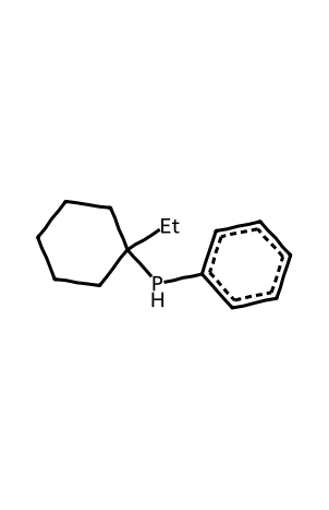 CCC1(Pc2ccccc2)CCCCC1